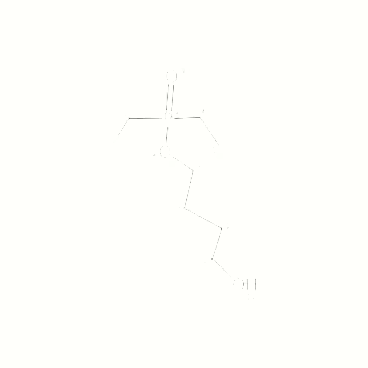 CCP(=O)(CC)OCCCCO